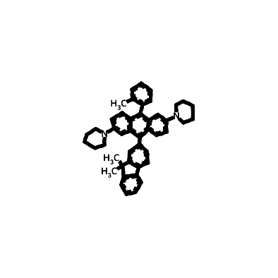 Cc1ccccc1-c1c2ccc(N3CCCCC3)cc2c(-c2ccc3c(c2)C(C)(C)c2ccccc2-3)c2ccc(N3CCCCC3)cc12